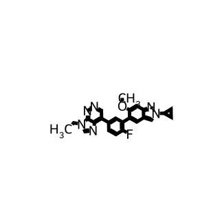 CCn1cnc2c(-c3ccc(F)c(-c4cc5cn(C6CC6)nc5cc4OC)c3)cnnc21